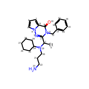 CCC(c1nn2cccc2c(=O)n1Cc1ccccc1)N(CCCN)C1CCCCC1